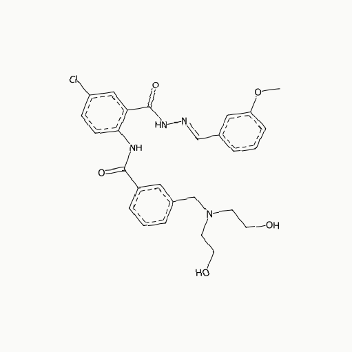 COc1cccc(C=NNC(=O)c2cc(Cl)ccc2NC(=O)c2cccc(CN(CCO)CCO)c2)c1